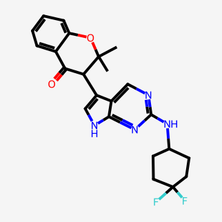 CC1(C)Oc2ccccc2C(=O)C1c1c[nH]c2nc(NC3CCC(F)(F)CC3)ncc12